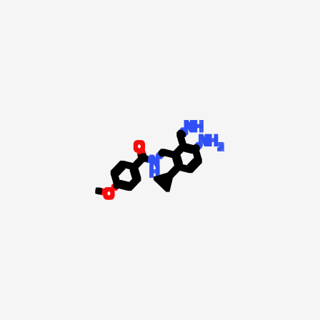 COc1ccc(C(=O)NCc2c(C3CC3)ccc(N)c2C=N)cc1